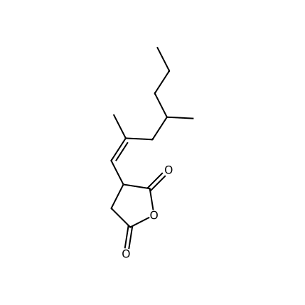 CCCC(C)CC(C)=CC1CC(=O)OC1=O